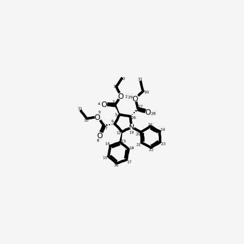 CCOC(=O)[C@@H]1[C@@H](C(=O)OCC)[C@H](c2ccccc2)N(c2ccccc2)[C@H]1C(=O)OCC